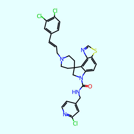 O=C(NCc1ccnc(Cl)c1)N1CC2(CCN(C/C=C/c3ccc(Cl)c(Cl)c3)CC2)c2c1ccc1scnc21